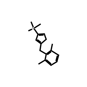 Cc1cccc(C)c1CC1=CC([Si](C)(C)C)=CC1